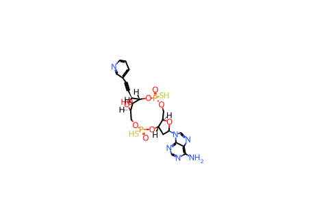 Nc1ncnc2c1ncn2[C@H]1C[C@@H]2OP(=O)(S)OC[C@H]3O[C@@H](C#Cc4cccnc4)[C@H](OP(=O)(S)OC[C@H]2O1)[C@@H]3O